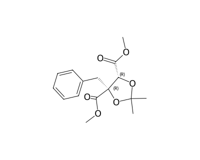 COC(=O)[C@@H]1OC(C)(C)O[C@@]1(Cc1ccccc1)C(=O)OC